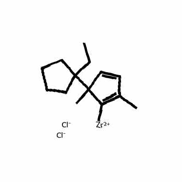 CCC1(C2(C)C=CC(C)=[C]2[Zr+2])CCCC1.[Cl-].[Cl-]